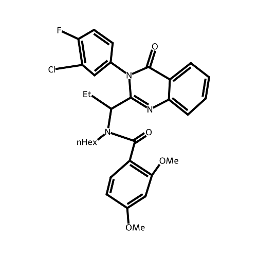 CCCCCCN(C(=O)c1ccc(OC)cc1OC)C(CC)c1nc2ccccc2c(=O)n1-c1ccc(F)c(Cl)c1